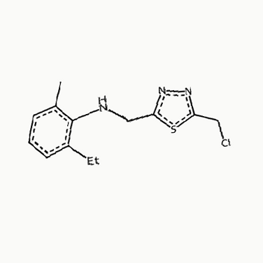 CCc1cccc(C)c1NCc1nnc(CCl)s1